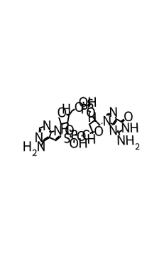 Nc1nc2c(ncn2[C@@H]2O[C@@H]3COP(O)(=S)O[C@H]4C(n5ccc6c(N)ncnc65)CO[C@@H]4COP(O)(=S)O[C@@H]2C3)c(=O)[nH]1